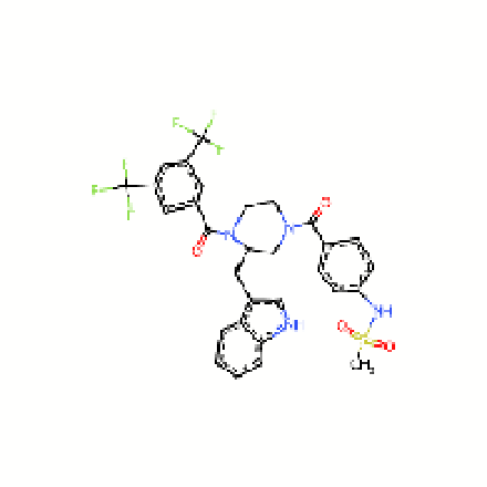 CS(=O)(=O)Nc1ccc(C(=O)N2CCN(C(=O)c3cc(C(F)(F)F)cc(C(F)(F)F)c3)[C@H](Cc3c[nH]c4ccccc34)C2)cc1